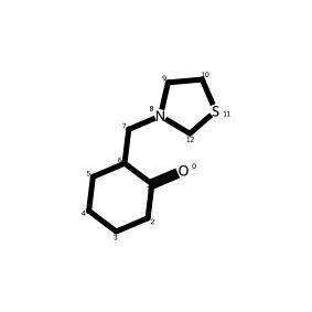 O=C1CCCCC1CN1CCSC1